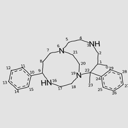 CC1CNCCN2CCC(c3ccccc3)NCCN(CC2)C1(C)c1ccccc1